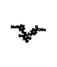 COC(=O)c1ccc(CCn2c(C=Cc3cccc(OC)c3)c(Br)cc(Br)c2=O)cc1